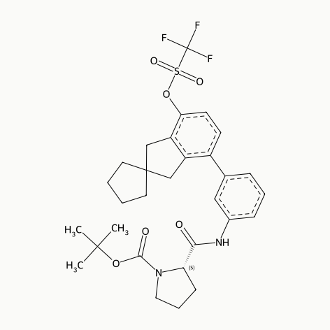 CC(C)(C)OC(=O)N1CCC[C@H]1C(=O)Nc1cccc(-c2ccc(OS(=O)(=O)C(F)(F)F)c3c2CC2(CCCC2)C3)c1